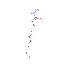 CC(C)CCCCCCCCCC(=O)NC(C)C